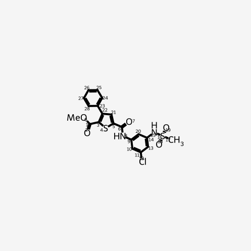 COC(=O)c1sc(C(=O)Nc2cc(Cl)cc(NS(C)(=O)=O)c2)cc1-c1ccccc1